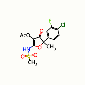 CC(=O)OC1=C(NS(C)(=O)=O)OC(C)(c2ccc(Cl)c(F)c2)C1=O